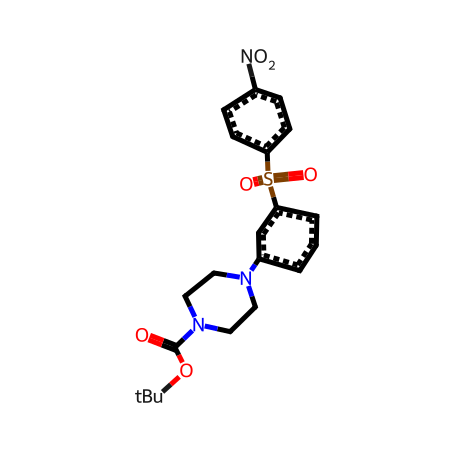 CC(C)(C)OC(=O)N1CCN(c2cccc(S(=O)(=O)c3ccc([N+](=O)[O-])cc3)c2)CC1